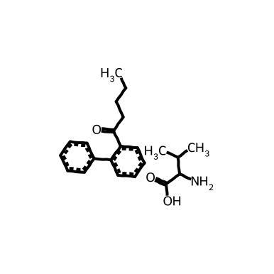 CC(C)C(N)C(=O)O.CCCCC(=O)c1ccccc1-c1ccccc1